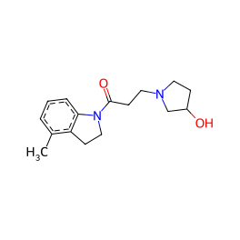 Cc1cccc2c1CCN2C(=O)CCN1CCC(O)C1